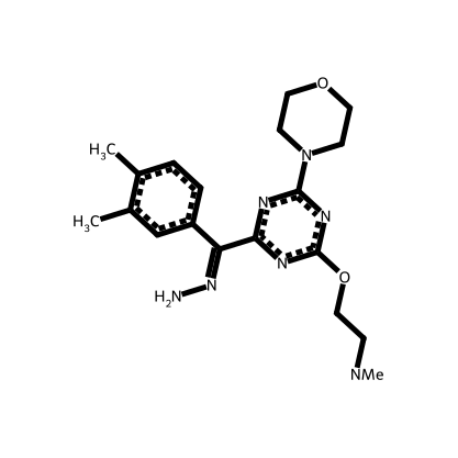 CNCCOc1nc(C(=NN)c2ccc(C)c(C)c2)nc(N2CCOCC2)n1